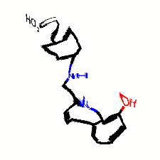 O=C(O)C1CCC(NCc2ccc3cccc(O)c3n2)CC1